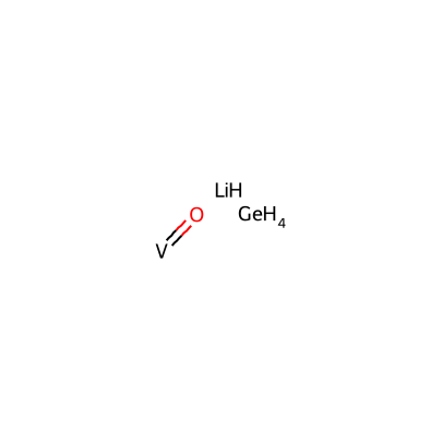 [GeH4].[LiH].[O]=[V]